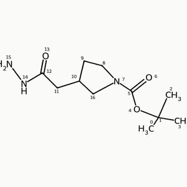 CC(C)(C)OC(=O)N1CCC(CC(=O)NN)C1